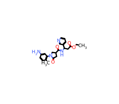 CCOC(=O)CC(NC(=O)C1CC(=O)N(c2cc(N)ccc2C)C1)c1cccnc1